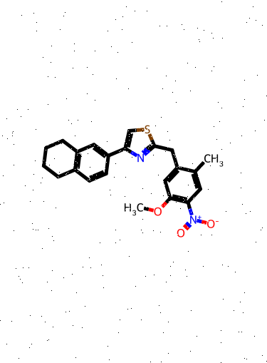 COc1cc(Cc2nc(-c3ccc4c(c3)CCCC4)cs2)c(C)cc1[N+](=O)[O-]